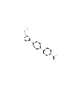 N=C(N)c1ccc(-c2ccc(-c3cnc(CCC(=O)O)o3)cc2)cc1